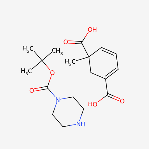 CC(C)(C)OC(=O)N1CCNCC1.CC1(C(=O)O)C=CC=C(C(=O)O)C1